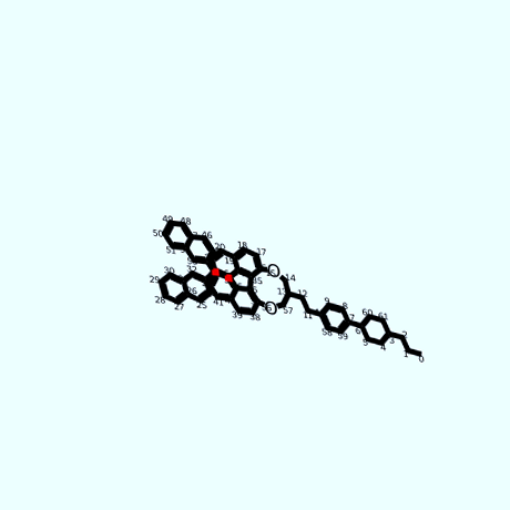 CCCC1CCC(c2ccc(CCC3COc4ccc5ccc(-c6ccc7ccccc7c6)cc5c4-c4c(ccc5ccc(-c6ccc7ccccc7c6)cc45)OC3)cc2)CC1